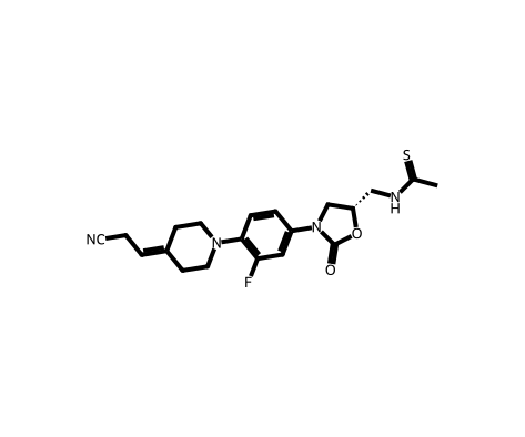 CC(=S)NC[C@H]1CN(c2ccc(N3CCC(=CCC#N)CC3)c(F)c2)C(=O)O1